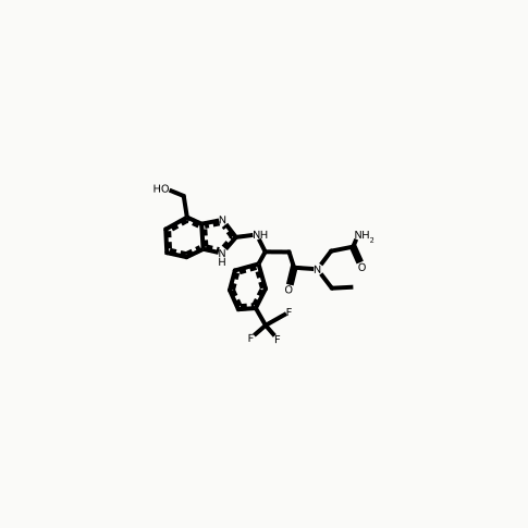 CCN(CC(N)=O)C(=O)CC(Nc1nc2c(CO)cccc2[nH]1)c1cccc(C(F)(F)F)c1